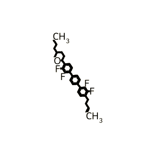 C/C=C/CCc1ccc(-c2ccc(-c3ccc(C4CCC(CCCC)CO4)c(F)c3F)cc2)c(F)c1F